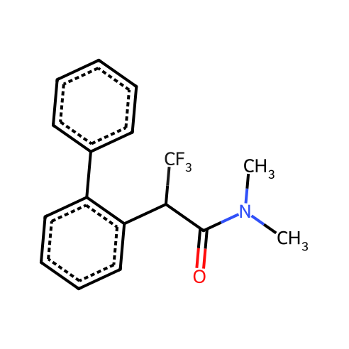 CN(C)C(=O)C(c1ccccc1-c1ccccc1)C(F)(F)F